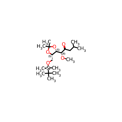 CO[C@@H](C(=O)CC(C)C)[C@H]1OC(C)(C)O[C@H]1CO[Si](C)(C)C(C)(C)C